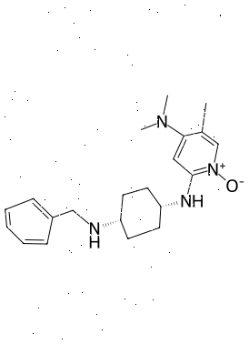 Cc1c[n+]([O-])c(N[C@H]2CC[C@@H](NCc3ccccc3)CC2)cc1N(C)C